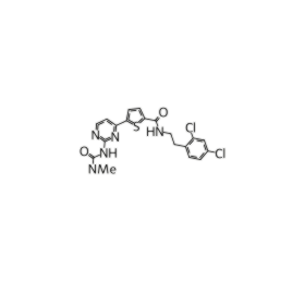 CNC(=O)Nc1nccc(-c2ccc(C(=O)NCCc3ccc(Cl)cc3Cl)s2)n1